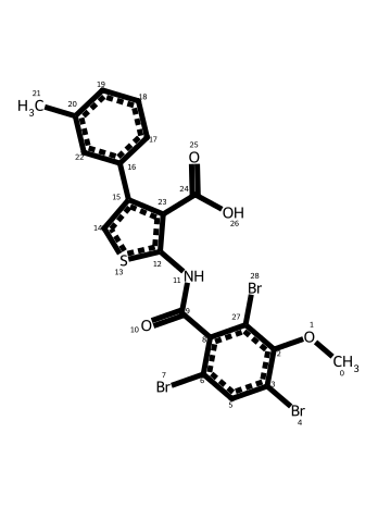 COc1c(Br)cc(Br)c(C(=O)Nc2scc(-c3cccc(C)c3)c2C(=O)O)c1Br